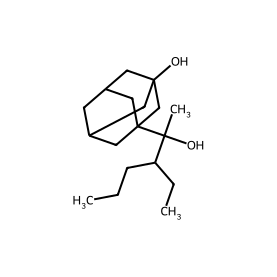 CCCC(CC)C(C)(O)C12CC3CC(CC(O)(C3)C1)C2